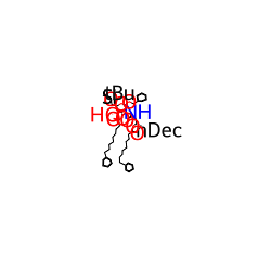 CCCCCCCCCCC[C@@H](CC(=O)N[C@H]1[C@H](OCc2ccccc2)O[C@H](CO[Si](C)(C)C(C)(C)C)[C@@H](O)[C@@H]1OC(=O)CCCCCCCCc1ccccc1)OC(=O)CCCCCCCCc1ccccc1